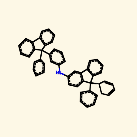 C1=CC[C@@H](C2(c3ccccc3)c3ccccc3-c3cc(Nc4cccc(C5(c6ccccc6)c6ccccc6-c6ccccc65)c4)ccc32)C=C1